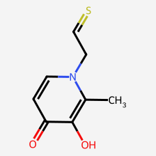 Cc1c(O)c(=O)ccn1CC=S